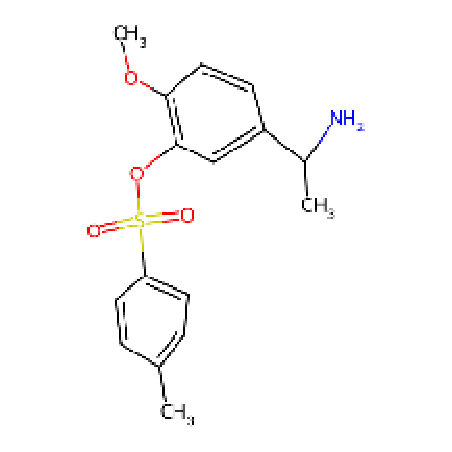 COc1ccc(C(C)N)cc1OS(=O)(=O)c1ccc(C)cc1